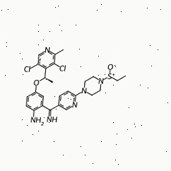 CC[S+]([O-])N1CCN(c2ccc(C(=N)c3cc(O[C@H](C)c4c(Cl)cnc(C)c4Cl)ccc3N)cn2)CC1